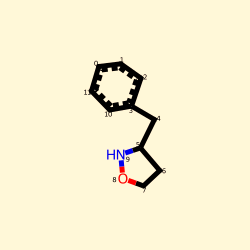 c1ccc(CC2CCON2)cc1